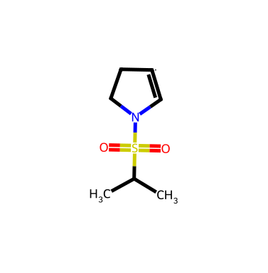 CC(C)S(=O)(=O)N1C=[C]CC1